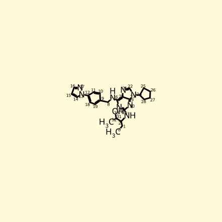 CCC(Nc1nc(NCc2ccc(-n3cccn3)cc2)c2ncn(C3CCCC3)c2n1)[C@@H](C)O